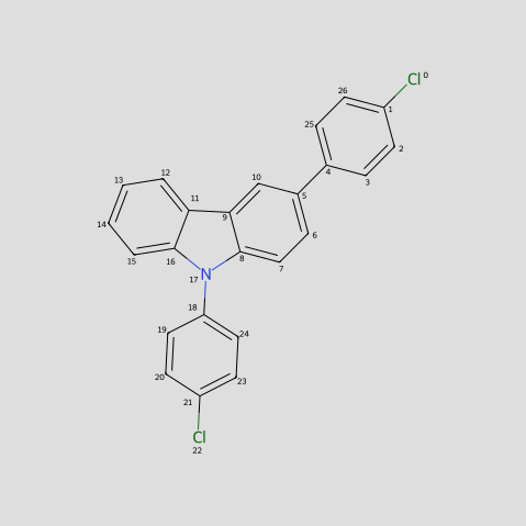 Clc1ccc(-c2ccc3c(c2)c2ccccc2n3-c2ccc(Cl)cc2)cc1